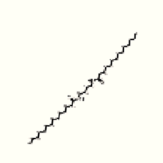 CCCCCCCCCCCCCC(=O)NCCCCNC(=O)CCCCCCCCCCCCC